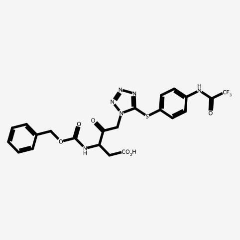 O=C(O)CC(NC(=O)OCc1ccccc1)C(=O)Cn1nnnc1Sc1ccc(NC(=O)C(F)(F)F)cc1